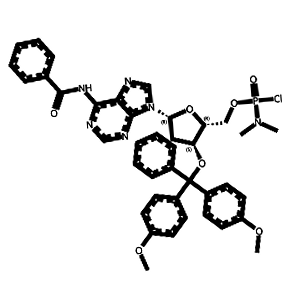 COc1ccc(C(O[C@H]2C[C@H](n3cnc4c(NC(=O)c5ccccc5)ncnc43)O[C@@H]2COP(=O)(Cl)N(C)C)(c2ccccc2)c2ccc(OC)cc2)cc1